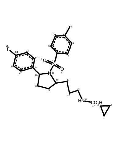 C1CC1.Cc1ccc(S(=O)(=O)N2C(CCCNC(=O)O)CCC2c2ccc(F)cc2)cc1